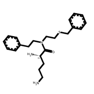 NCCC[C@H](N)C(=O)N(CCSCc1ccccc1)CCc1ccccc1